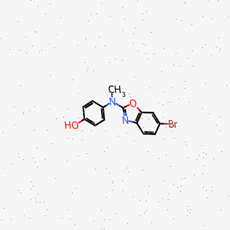 CN(c1ccc(O)cc1)c1nc2ccc(Br)cc2o1